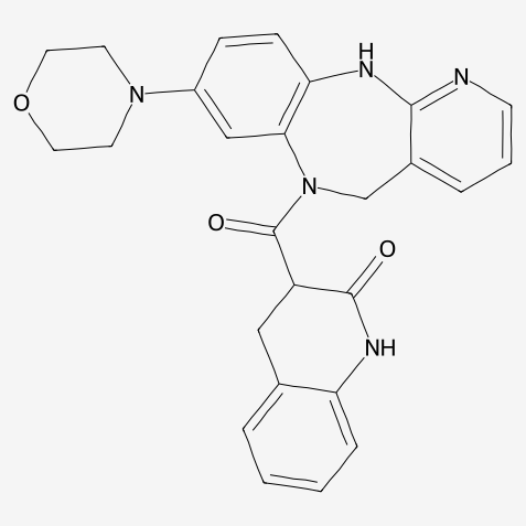 O=C1Nc2ccccc2CC1C(=O)N1Cc2cccnc2Nc2ccc(N3CCOCC3)cc21